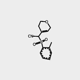 [C-]#[N+]C(C1=CCOCC1)S(=O)(=O)c1ccccc1C